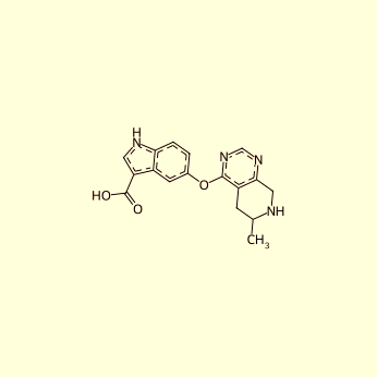 CC1Cc2c(ncnc2Oc2ccc3[nH]cc(C(=O)O)c3c2)CN1